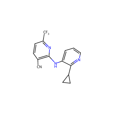 N#Cc1ccc(C(F)(F)F)nc1Nc1cccnc1C1CC1